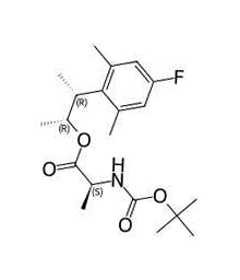 Cc1cc(F)cc(C)c1[C@@H](C)[C@@H](C)OC(=O)[C@H](C)NC(=O)OC(C)(C)C